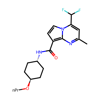 CCCO[C@H]1CC[C@H](NC(=O)c2ccn3c(C(F)F)cc(C)nc23)CC1